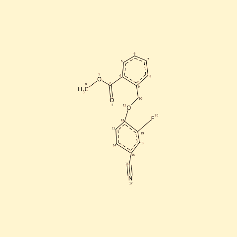 COC(=O)c1ccccc1COc1ccc(C#N)cc1F